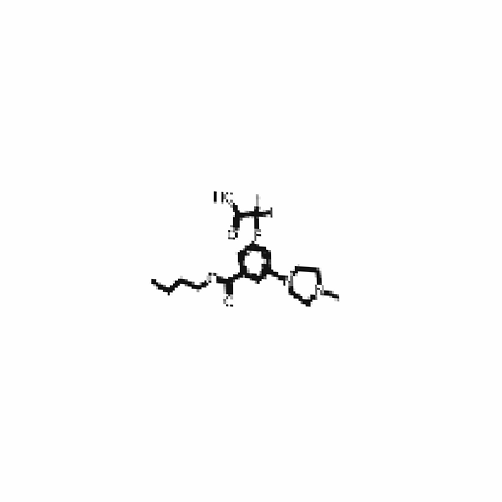 CCCCOC(=O)c1cccc(N2CCN(C)CC2)c1.O=C(O)C(F)(F)F